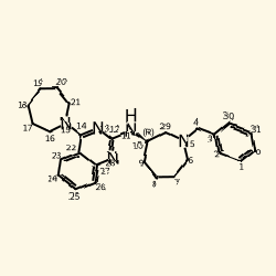 c1ccc(CN2CCCC[C@@H](Nc3nc(N4CCCCCC4)c4ccccc4n3)C2)cc1